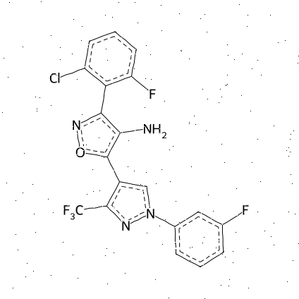 Nc1c(-c2c(F)cccc2Cl)noc1-c1cn(-c2cccc(F)c2)nc1C(F)(F)F